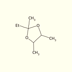 CCC1(C)OC(C)C(C)O1